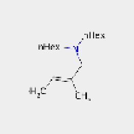 [CH2]C=C(C)CN(CCCCCC)CCCCCC